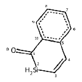 O=C1[SiH2]C=Cc2ccccc21